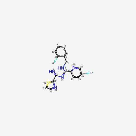 N=C(/N=C(\NCc1ccccc1F)c1ccc(F)cn1)c1nccs1